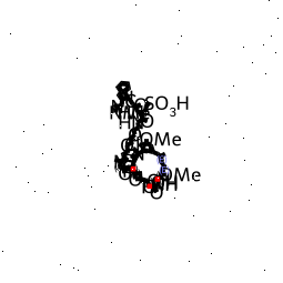 CNN(C)Cc1cc2ccccc2n1CCC(=O)N[C@@H](CCS(=O)(=O)O)C(=O)NCCOCCOCCC(=O)N(C)[C@@H](C)C(=O)O[C@H]1CC(=O)N(C)c2cc(cc(OC)c2Cl)C/C(C)=C/C=C/[C@@H](OC)[C@@]2(O)C[C@H](OC(=O)N2)C2(C)C[C@@]1(C)O2